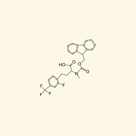 CN(C(=O)OCC1c2ccccc2-c2ccccc21)C(CCc1ccc(C(F)(F)F)cc1F)C(=O)O